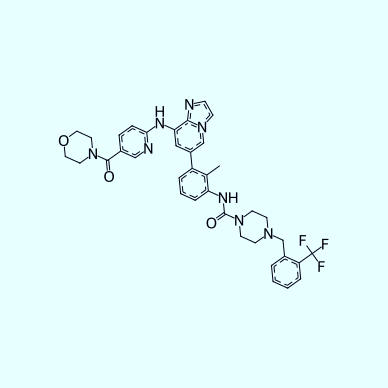 Cc1c(NC(=O)N2CCN(Cc3ccccc3C(F)(F)F)CC2)cccc1-c1cc(Nc2ccc(C(=O)N3CCOCC3)cn2)c2nccn2c1